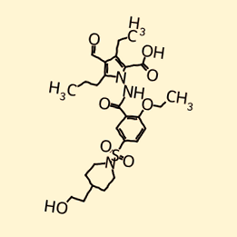 CCCc1c(C=O)c(CC)c(C(=O)O)n1NC(=O)c1cc(S(=O)(=O)N2CCC(CCO)CC2)ccc1OCC